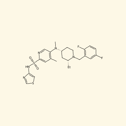 CC[C@@H]1C[C@H](N(C)c2cnc(S(=O)(=O)Nc3cscn3)cc2C)CCN1Cc1cc(F)ccc1F